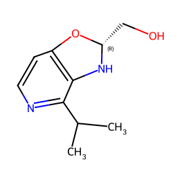 CC(C)c1nccc2c1N[C@@H](CO)O2